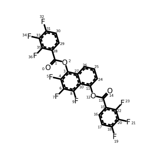 O=C(Oc1c(F)c(F)c(F)c2c(OC(=O)c3ccc(F)c(F)c3F)cccc12)c1ccc(F)c(F)c1F